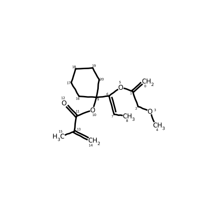 C=C(COC)O/C(=C\C)C1(OC(=O)C(=C)C)CCCCC1